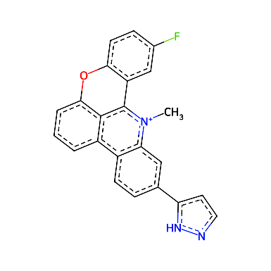 C[n+]1c2c3c(cccc3c3ccc(-c4ccn[nH]4)cc31)Oc1ccc(F)cc1-2